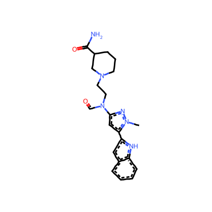 Cn1nc(N(C=O)CCN2CCCC(C(N)=O)C2)cc1-c1cc2ccccc2[nH]1